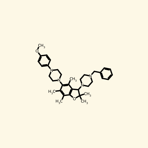 COc1ccc(N2CCN(c3c(C)c(C)c4c(c3C)C(N3CCN(Cc5ccccc5)CC3)C(C)(C)O4)CC2)cc1